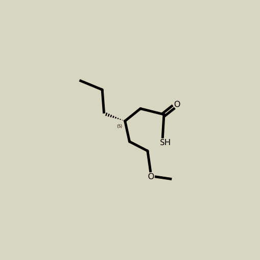 CCC[C@@H](CCOC)CC(=O)S